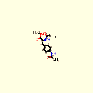 COC(=O)[C@H](Cc1ccc(NC(C)=O)cc1)NC(C)=O